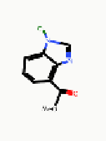 COC(=O)c1cccc2c1ncn2Cl